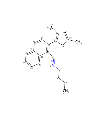 CCCC/N=C/c1c(C2=C(C)C=C(C)C2)ccc2ccccc12